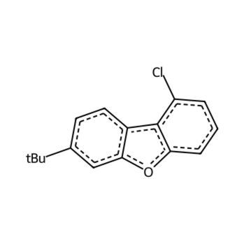 CC(C)(C)c1ccc2c(c1)oc1cccc(Cl)c12